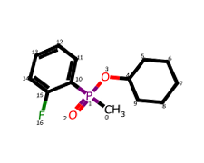 CP(=O)(OC1CCCCC1)c1ccccc1F